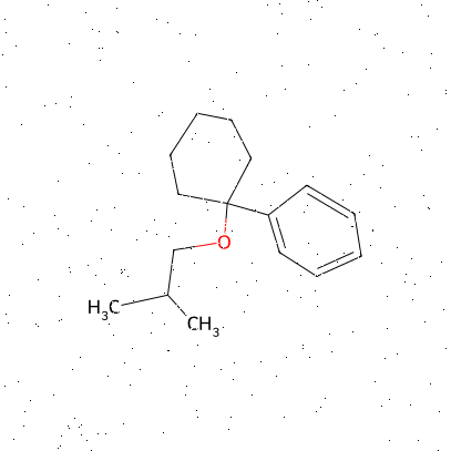 CC(C)COC1(c2ccccc2)CCCCC1